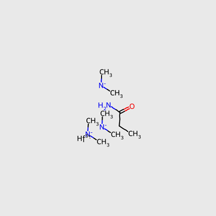 CCC(N)=O.C[N-]C.C[N-]C.C[N-]C.[Hf+3]